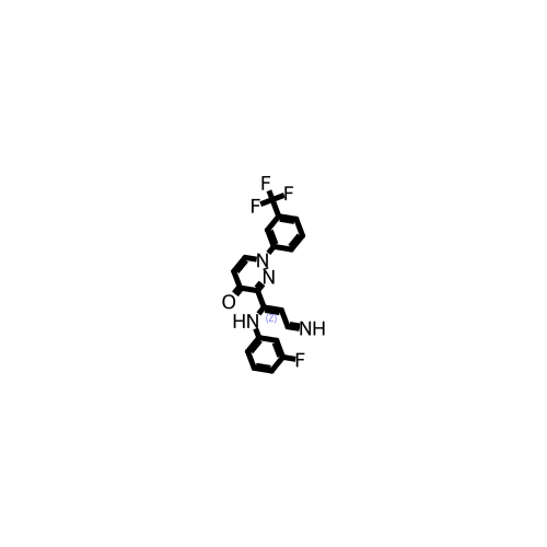 N=C/C=C(\Nc1cccc(F)c1)c1nn(-c2cccc(C(F)(F)F)c2)ccc1=O